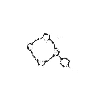 Nc1ccc(-c2cc3cc4nc(cc5ccc(cc6nc(cc2[nH]3)C=C6)[nH]5)C=C4)cc1.[Co]